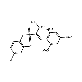 COc1cc(OC)c(/C=C(\C(N)=O)S(=O)(=O)Cc2ccc(Cl)cc2Cl)c(OC)c1